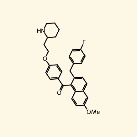 COc1ccc2c(C(=O)c3ccc(OCCC4CCCCN4)cc3)c(Cc3ccc(F)cc3)ccc2c1